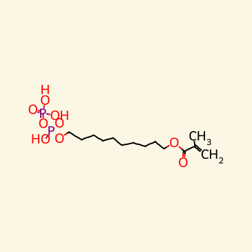 C=C(C)C(=O)OCCCCCCCCCCOP(=O)(O)OP(=O)(O)O